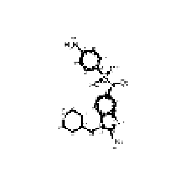 CCN(c1ccc2c(c1)nc(C(C)(C)C)n2CC1CCOCC1)S(=O)(=O)c1ccc(N)cc1